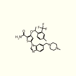 Cc1ccc(C(C)Oc2cc(-n3cnc4ccc(CN5CCN(C)CC5)cc43)sc2C(N)=O)c(C(F)(F)F)c1